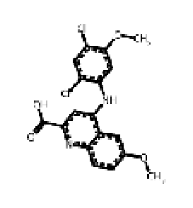 COc1ccc2nc(C(=O)O)cc(Nc3cc(OC)c(Cl)cc3Cl)c2c1